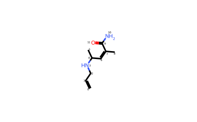 C=CCNC(C)C=C(C)C(N)=O